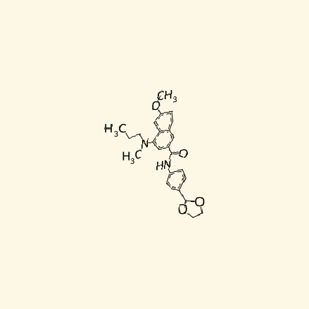 CCCN(C)c1cc(C(=O)Nc2ccc(C3OCCO3)cc2)cc2ccc(OC)cc12